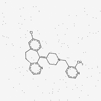 Cc1ncccc1CN1CCC(=C2c3ccc(Cl)cc3CCc3cccnc32)CC1